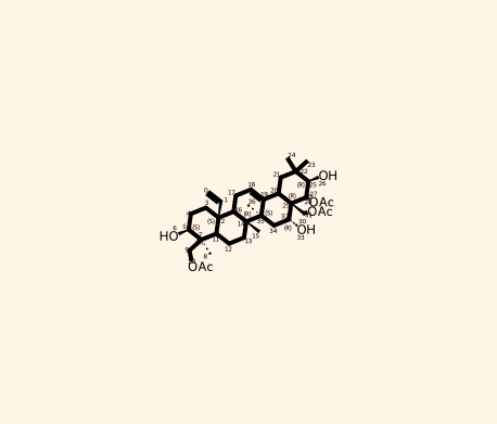 C=C[C@]12CC[C@H](O)[C@](C)(COC(C)=O)C1CC[C@]1(C)C2CC=C2C3CC(C)(C)[C@@H](O)[C@H](OC(C)=O)[C@]3(COC(C)=O)[C@H](O)C[C@]21C